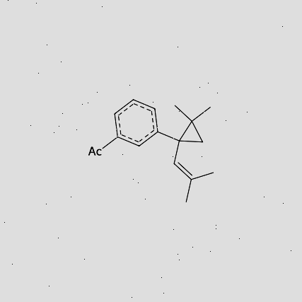 CC(=O)c1cccc(C2(C=C(C)C)CC2(C)C)c1